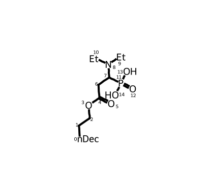 CCCCCCCCCCCCOC(=O)CC(N(CC)CC)P(=O)(O)O